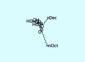 CCCCCCCC/C=C\CCCCCCCCCC(=O)OC[C@H](COP(=O)(O)OC[C@@H](O)CO)OC(=O)CCCCCCCCCCCCCCC